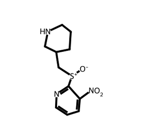 O=[N+]([O-])c1cccnc1[S+]([O-])CC1CCCNC1